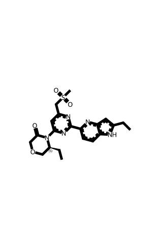 CCc1cc2nc(-c3nc(CS(C)(=O)=O)cc(N4C(=O)COC[C@@H]4CC)n3)ccc2[nH]1